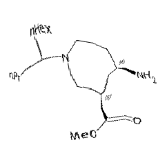 CCCCCCC(CCC)N1CC[C@@H](N)[C@@H](C(=O)OC)C1